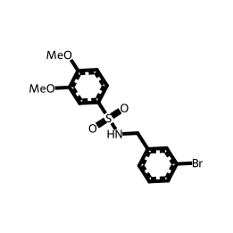 COc1ccc(S(=O)(=O)NCc2cccc(Br)c2)cc1OC